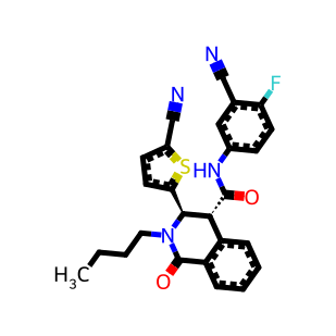 CCCCN1C(=O)c2ccccc2[C@@H](C(=O)Nc2ccc(F)c(C#N)c2)[C@@H]1c1ccc(C#N)s1